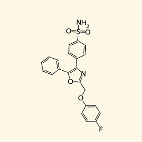 NS(=O)(=O)c1ccc(-c2nc(COc3ccc(F)cc3)oc2-c2ccccc2)cc1